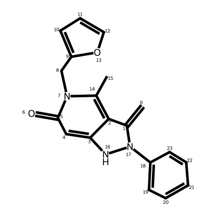 C=C1c2c(cc(=O)n(Cc3ccco3)c2C)NN1c1ccccc1